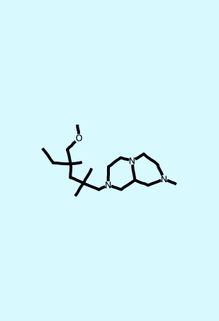 CCC(C)(COC)CC(C)(C)CN1CCN2CCN(C)CC2C1